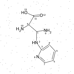 NC(Nc1ccccn1)C(N)C(=O)O